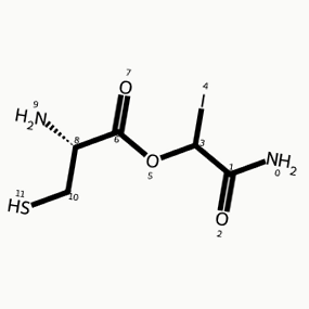 NC(=O)C(I)OC(=O)[C@@H](N)CS